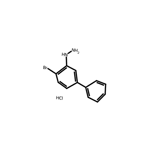 Cl.NNc1cc(-c2ccccc2)ccc1Br